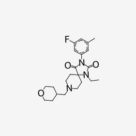 CCN1C(=O)N(c2cc(C)cc(F)c2)C(=O)C12CCN(CC1CCOCC1)CC2